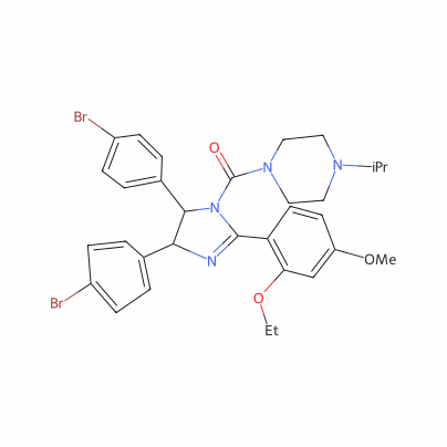 CCOc1cc(OC)ccc1C1=NC(c2ccc(Br)cc2)C(c2ccc(Br)cc2)N1C(=O)N1CCN(C(C)C)CC1